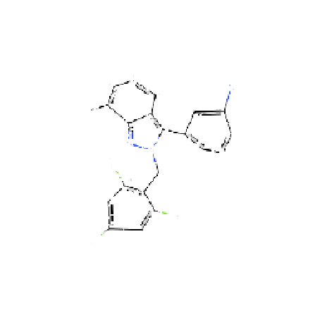 Nc1cccc(-c2c3cccc(C(F)(F)F)c3nn2Cc2c(F)cc(F)cc2F)c1